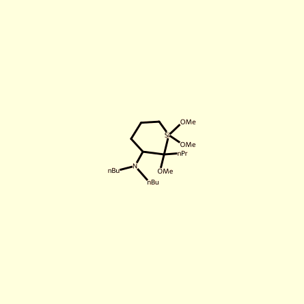 CCCCN(CCCC)C1CCC[Si](OC)(OC)C1(CCC)OC